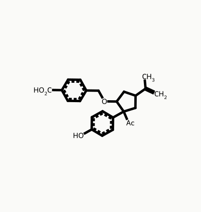 C=C(C)C1CC(OCc2ccc(C(=O)O)cc2)C(C(C)=O)(c2ccc(O)cc2)C1